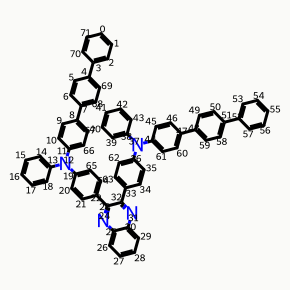 c1ccc(-c2ccc(-c3ccc(N(c4ccccc4)c4ccc(-c5nc6ccccc6nc5-c5ccc(N(c6ccccc6)c6ccc(-c7ccc(-c8ccccc8)cc7)cc6)cc5)cc4)cc3)cc2)cc1